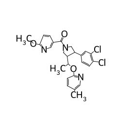 COc1ccc(C(=O)N2CC(c3ccc(Cl)c(Cl)c3)C(C(C)Oc3ccc(C)cn3)C2)cn1